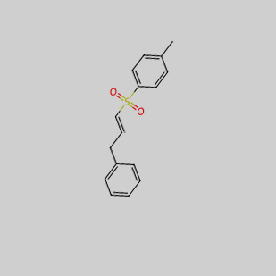 Cc1ccc(S(=O)(=O)C=[C]Cc2ccccc2)cc1